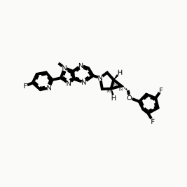 Cn1c(-c2ccc(F)cn2)nc2nc(N3C[C@@H]4[C@H](COc5cc(F)cc(F)c5)[C@@H]4C3)cnc21